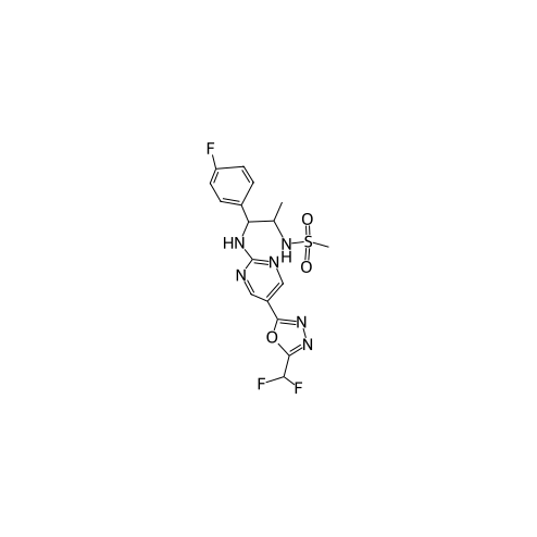 CC(NS(C)(=O)=O)C(Nc1ncc(-c2nnc(C(F)F)o2)cn1)c1ccc(F)cc1